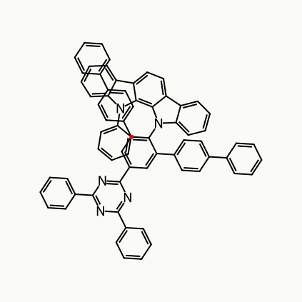 c1ccc(-c2ccc(-c3cc(-c4nc(-c5ccccc5)nc(-c5ccccc5)n4)cc(-c4ccc(-c5ccccc5)cc4)c3-n3c4ccccc4c4ccc5c6ccccc6n(-c6ccccc6)c5c43)cc2)cc1